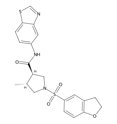 C[C@H]1CN(S(=O)(=O)c2ccc3c(c2)CCO3)C[C@@H]1C(=O)Nc1ccc2scnc2c1